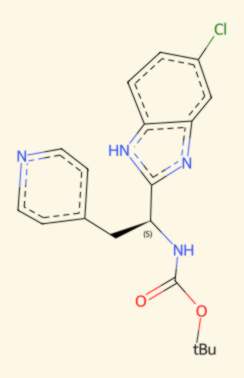 CC(C)(C)OC(=O)N[C@@H](Cc1ccncc1)c1nc2cc(Cl)ccc2[nH]1